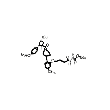 COc1ccc([C@@H]2CN(C(C)(C)C)C[C@@]2(F)C(=O)N2CCC(c3ccc(C(F)(F)F)cc3OCCCC(=O)NNC(=O)OC(C)(C)C)CC2)cc1